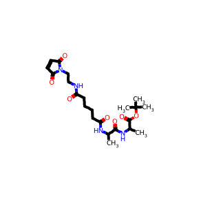 CC(NC(=O)CCCCC(=O)NCCN1C(=O)C=CC1=O)C(=O)NC(C)C(=O)OC(C)(C)C